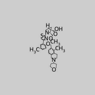 COC[C@H]1N(c2nc(-c3cc(C)ccc3OCc3ccc4c(c3C)CCN(C3CCOCC3)C4)cs2)C[C@@H]2C[C@@]21C(=O)O